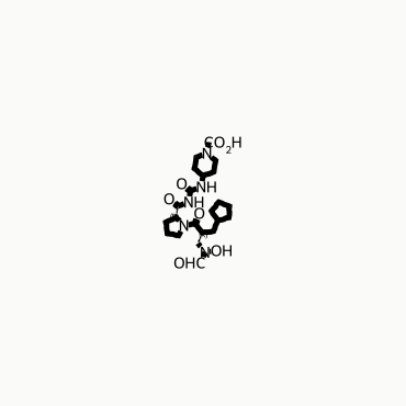 O=CN(O)C[C@@H](CC1CCCC1)C(=O)N1CCC[C@@H]1C(=O)NC(=O)NC1CCN(C(=O)O)CC1